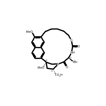 COc1cc2ccc3cc2cc1CCCCCOC(=O)N[C@@H](C(C)(C)C)C(=O)N1C[C@@]3(OC)C[C@H]1C(=O)O